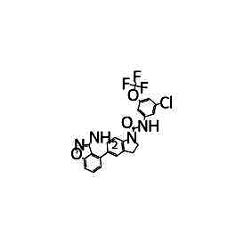 Nc1noc2cccc(-c3ccc4c(c3)CCN4C(=O)Nc3cc(Cl)cc(OC(F)(F)F)c3)c12